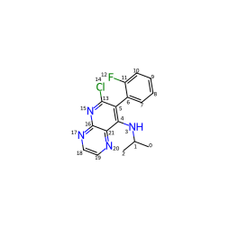 CC(C)Nc1c(-c2ccccc2F)c(Cl)nc2nccnc12